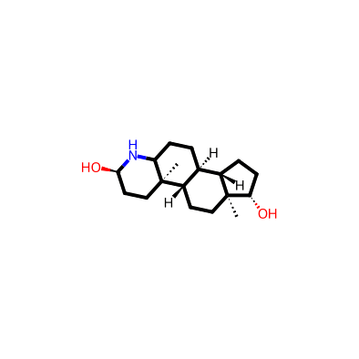 C[C@]12CC[C@H]3[C@@H](CCC4N[C@H](O)CC[C@@]43C)[C@@H]1CC[C@@H]2O